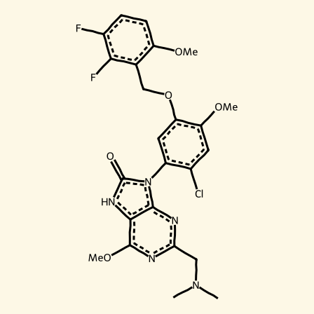 COc1cc(Cl)c(-n2c(=O)[nH]c3c(OC)nc(CN(C)C)nc32)cc1OCc1c(OC)ccc(F)c1F